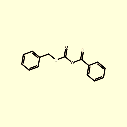 O=C(OCc1ccccc1)OC(=O)c1ccccc1